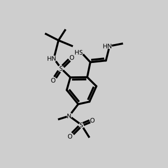 CN/C=C(\S)c1ccc(N(C)S(C)(=O)=O)cc1S(=O)(=O)NC(C)(C)C